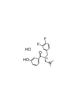 CN(C)C[C@H](Cc1ccc(F)c(F)c1)C(=O)c1cccc(O)c1.Cl